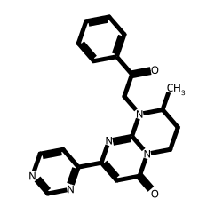 CC1CCn2c(nc(-c3ccncn3)cc2=O)N1CC(=O)c1ccccc1